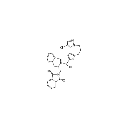 N=C1c2ccccc2C(=O)N1C[C@H](Cc1ccccc1I)NC(O)c1cc2c(s1)CCCn1ncc(Cl)c1-2